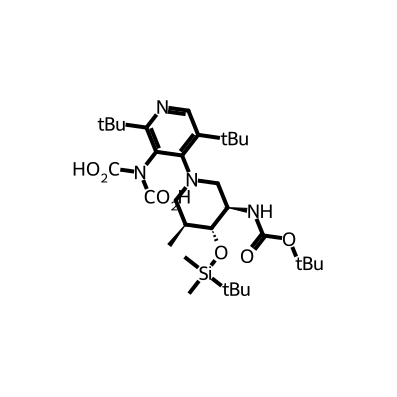 C[C@H]1CN(c2c(C(C)(C)C)cnc(C(C)(C)C)c2N(C(=O)O)C(=O)O)C[C@@H](NC(=O)OC(C)(C)C)[C@@H]1O[Si](C)(C)C(C)(C)C